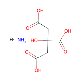 N.O=C(O)CC(O)(CC(=O)O)C(=O)O.[H]